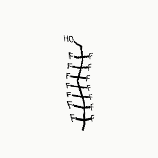 CC(F)(F)C(F)(F)C(F)(F)C(F)(F)C(F)(F)C(F)(F)C(F)(F)CO